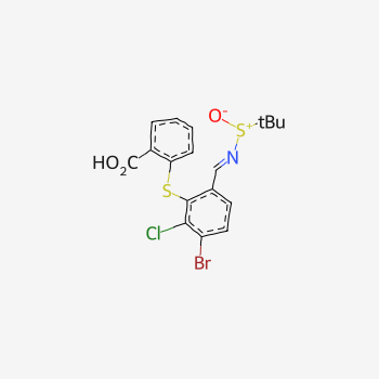 CC(C)(C)[S+]([O-])N=Cc1ccc(Br)c(Cl)c1Sc1ccccc1C(=O)O